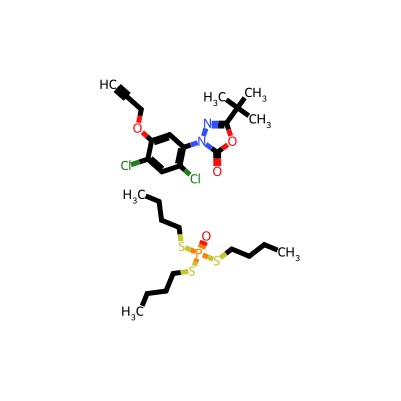 C#CCOc1cc(-n2nc(C(C)(C)C)oc2=O)c(Cl)cc1Cl.CCCCSP(=O)(SCCCC)SCCCC